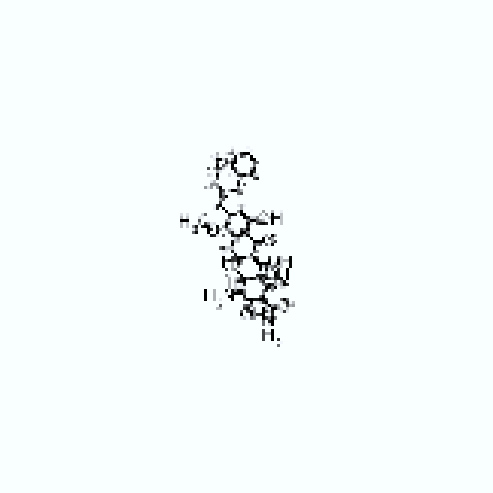 COc1c(CN(Cc2ccccc2)CC2CC2)cc(O)c2c1C[C@H]1C[C@H]3[C@H](N)C(O)=C(C(N)=O)C(=O)[C@@]3(O)C(O)=C1C2=O